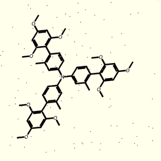 COc1cc(OC)c(-c2ccc(N(c3ccc(-c4c(OC)cc(OC)cc4OC)c(C)c3)c3ccc(-c4c(OC)cc(OC)cc4OC)c(C)c3)cc2C)c(OC)c1